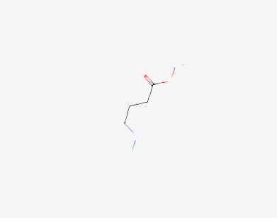 CCCCOC(=O)CC[C@H](NCl)C(=O)O